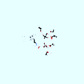 C=CC(=O)OCC(COCC(COC(=O)C=C)(COC(=O)NCCC[Si](OC)(OC)OC)OC(=O)C=C)(COC(=O)C=C)COC(=O)C=C